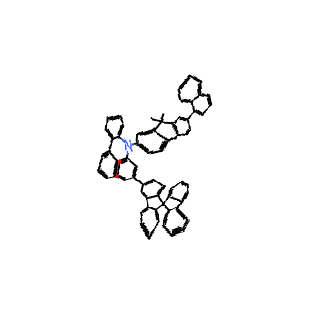 CC1(C)c2cc(-c3cccc4ccccc34)ccc2-c2ccc(N(c3cccc(-c4ccc5c(c4)-c4ccccc4C54c5ccccc5-c5ccccc54)c3)c3ccccc3-c3ccccc3)cc21